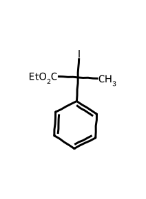 CCOC(=O)C(C)(I)c1ccccc1